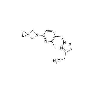 CCc1ccn(Cc2ccc(N3CC4(CC4)C3)nc2F)n1